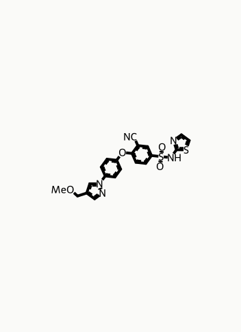 COCc1cnn(-c2ccc(Oc3ccc(S(=O)(=O)Nc4nccs4)cc3C#N)cc2)c1